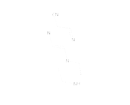 N#Cc1cnc(N2CCNCC2)cn1